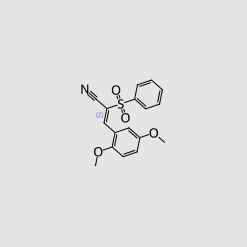 COc1ccc(OC)c(/C=C(/C#N)S(=O)(=O)c2ccccc2)c1